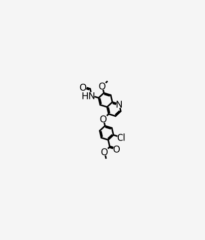 COC(=O)c1ccc(Oc2ccnc3cc(OC)c(NC=O)cc23)cc1Cl